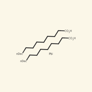 CCCCCCCCCCCCCCCCCC(=O)O.CCCCCCCCCCCCCCCCCC(=O)O.[Pb]